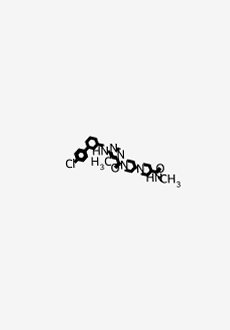 CNC(=O)C1CCN(C2CCN(C(=O)c3ncnc(NCC4CCCC(c5ccc(Cl)cc5)C4)c3C)CC2)CC1